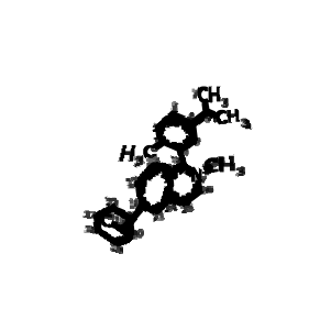 Cc1ccc(C(C)C)cc1-c1c2ccc(C3CC4CCC3CC4)cc2cc[n+]1C